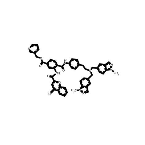 Cn1ncc2cc(CN(CCc3ccc(NC(=O)c4ccc(C(=O)OCc5cccnc5)cc4NC(=O)c4cc(=O)c5ccccc5o4)cc3)Cc3ccc4c(cnn4C)c3)ccc21